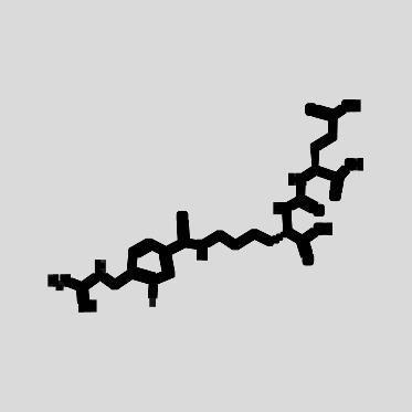 N=C(N)NCc1ccc(C(=O)NCCCC[C@H](NC(=O)N[C@@H](CCC(=O)O)C(=O)O)C(=O)O)cc1I